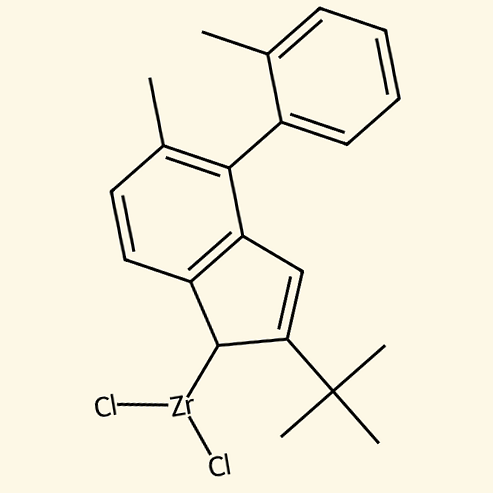 Cc1ccccc1-c1c(C)ccc2c1C=C(C(C)(C)C)[CH]2[Zr]([Cl])[Cl]